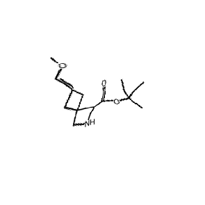 COC=C1CC2(CNC2C(=O)OC(C)(C)C)C1